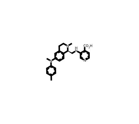 Cc1ccc(N(C)c2ccc3c(c2)CCN(C)[C@H]3CNc2cnccc2C(=O)O)cc1